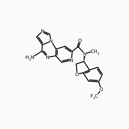 CN(C(=O)c1cc2c(cn1)nc(N)c1cncn12)[C@@H]1COc2cc(OC(F)(F)F)ccc21